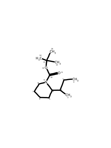 CCC(C)C1CCCCN1C(=O)OC(C)(C)C